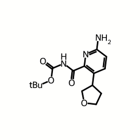 CC(C)(C)OC(=O)NC(=O)c1nc(N)ccc1C1CCOC1